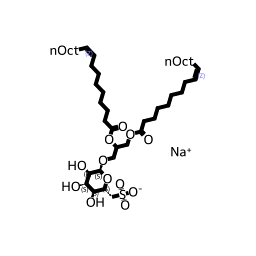 CCCCCCCC/C=C\CCCCCCCC(=O)OCC(CO[C@H]1O[C@H](CS(=O)(=O)[O-])[C@@H](O)[C@H](O)[C@H]1O)OC(=O)CCCCCCC/C=C\CCCCCCCC.[Na+]